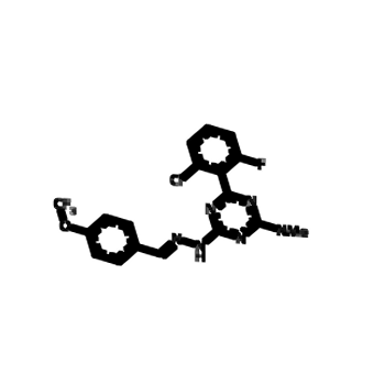 CNc1nc(NN=Cc2ccc(OC(F)(F)F)cc2)nc(-c2c(F)cccc2Cl)n1